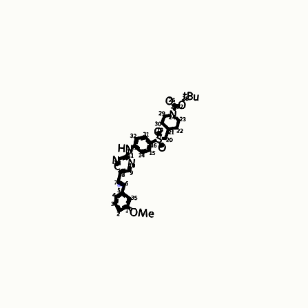 COc1cccc(/C=C/c2cnc(Nc3ccc(S(=O)(=O)CC4CCN(C(=O)OC(C)(C)C)CC4)cc3)nc2)c1